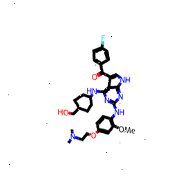 COc1cc(OCCN(C)C)ccc1Nc1nc(NC2CCC(CO)CC2)c2c(C(=O)c3ccc(F)cc3)c[nH]c2n1